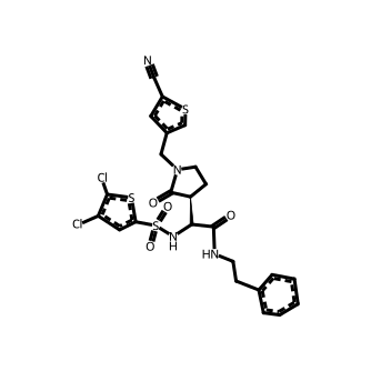 N#Cc1cc(CN2CC[C@@H](C(NS(=O)(=O)c3cc(Cl)c(Cl)s3)C(=O)NCCc3ccccc3)C2=O)cs1